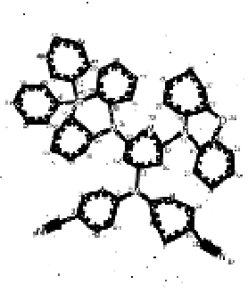 N#Cc1ccc(N(c2ccc(C#N)cc2)c2cc(N3c4ccccc4Oc4ccccc43)nc(N3c4ccccc4[Si](c4ccccc4)(c4ccccc4)c4ccccc43)c2)cc1